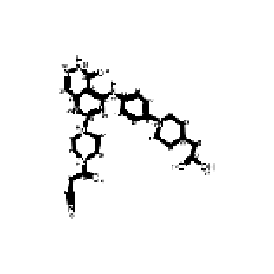 N#CCC(=O)N1CCN(c2nc(Nc3ccc(N4CCC(CC(=O)O)CC4)cc3)c3c(=O)[nH]ncc3n2)CC1